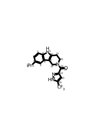 CC(C)c1ccc2[nH]c3c(c2c1)CN(C(=O)c1cc(C(F)(F)F)[nH]n1)CC3